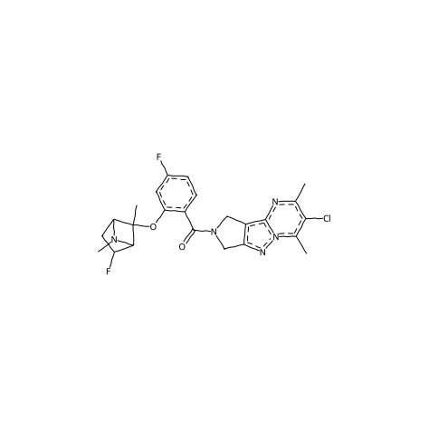 Cc1nc2c3c(nn2c(C)c1Cl)CN(C(=O)c1ccc(F)cc1OC1(C)C2CC(F)C1N2C)C3